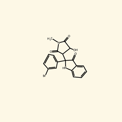 CN1C(=O)C(O)C(C2(c3cccc(Br)c3)Nc3ccccc3C2=O)C1=O